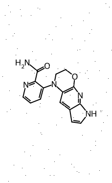 NC(=O)c1ncccc1N1CCOc2nc3[nH]ccc3cc21